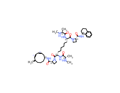 C=C1/C=C\C=C/C[C@H](NC(=O)[C@@H]2CCN2C(=O)[C@H](CCCCCC[C@H](NC(=O)[C@H](C)NC)C(=O)N2CC[C@H]2C(=O)N[C@@H]2CCCc3ccccc32)NC(=O)[C@H](C)NC)CCC1